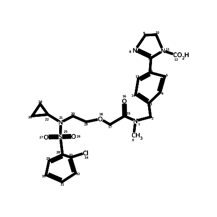 CN(Cc1ccc(C2=NCCN2C(=O)O)cc1)C(=O)COCCN(C1CC1)S(=O)(=O)c1ccccc1Cl